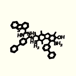 BC1=C(C(C)NC(NC(=N)c2cccc3c2sc2ccccc23)c2ccc(-c3ccccc3)cc2)C(C)=C2Cc3c(C)c(O)c(B)c(-c4cccc(-c5ccccc5)c4)c3C2C1C